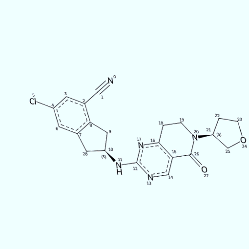 N#Cc1cc(Cl)cc2c1C[C@@H](Nc1ncc3c(n1)CCN([C@H]1CCOC1)C3=O)C2